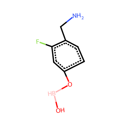 NCc1ccc(OBO)cc1F